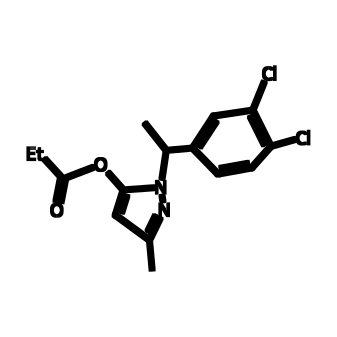 CCC(=O)Oc1cc(C)nn1C(C)c1ccc(Cl)c(Cl)c1